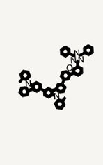 Cc1ccccc1-n1c2ccccc2c2cc(-c3ccc4c(c3)c3cc(-c5ccc6oc7c(-c8nc(-c9ccccc9)nc(-c9ccccc9)n8)cccc7c6c5)ccc3n4-c3ccccc3C)ccc21